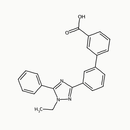 CCn1nc(-c2cccc(-c3cccc(C(=O)O)c3)c2)nc1-c1ccccc1